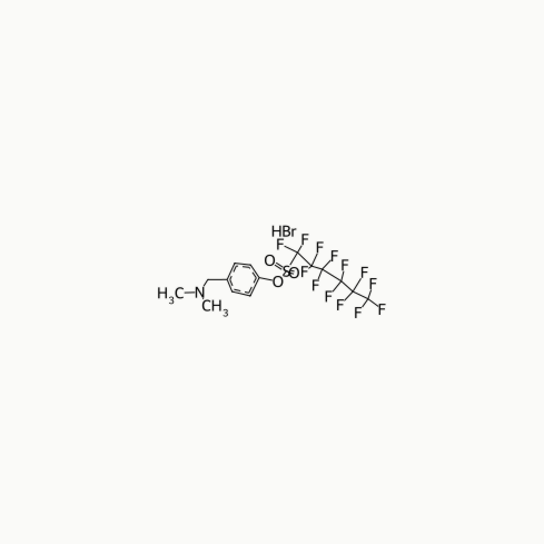 Br.CN(C)Cc1ccc(OS(=O)(=O)C(F)(F)C(F)(F)C(F)(F)C(F)(F)C(F)(F)C(F)(F)F)cc1